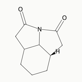 O=C1CC2CCC[C@H]3CC(=O)N1C23